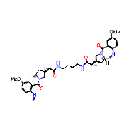 C=Nc1ccc(OC)cc1C(=O)N1C/C(=C\C(=O)NCCCCNC(=O)/C=C2/C[C@H]3C=Nc4ccc(OC)cc4C(=O)N3C2)C[C@H]1C